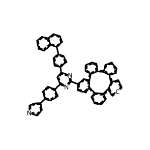 c1ccc2c(-c3ccc(-c4cc(-c5ccc(-c6ccncc6)cc5)nc(-c5ccc6c7ccccc7c7ccccc7c7ccccc7c7ccccc7c6c5)n4)cc3)cccc2c1